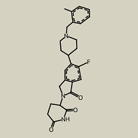 Cc1ccccc1CN1CCC(c2cc3c(cc2F)C(=O)N(C2CCC(=O)NC2=O)C3)CC1